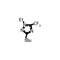 CCn1nc(C(C)(C)C)nc1C(F)(F)F